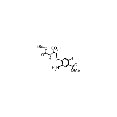 COC(=O)c1cc(N)c(SCC(NC(=O)OC(C)(C)C)C(=O)O)cc1F